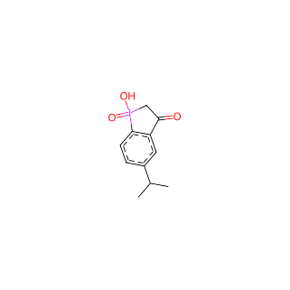 CC(C)c1ccc2c(c1)C(=O)CI2(=O)O